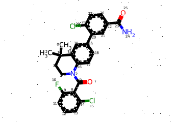 CC1(C)CCN(C(=O)c2c(F)cccc2Cl)c2ccc(-c3cc(C(N)=O)ccc3Cl)cc21